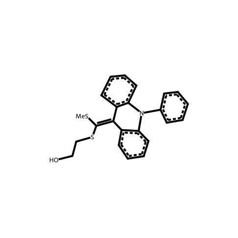 CSC(SCCO)=C1c2ccccc2N(c2ccccc2)c2ccccc21